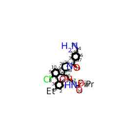 CCc1cccc(-c2c(Cl)cccc2C(O)(CCCNC(=O)OC(C)C)C2CCCN(C(=O)c3ccc(CN)cc3)C2)c1